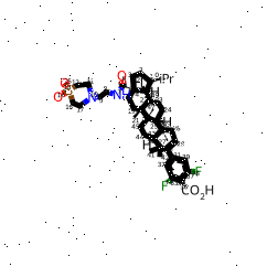 CC(C)[C@@H]1CC[C@]2(C(=O)NCCN3CCS(=O)(=O)CC3)CC[C@]3(C)[C@H](CC[C@@H]4[C@@]5(C)CC=C(c6cc(F)c(C(=O)O)c(F)c6)C(C)(C)[C@@H]5CC[C@]43C)[C@@H]12